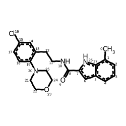 Cc1cccc2cc(C(=O)NCCc3cc(Cl)ccc3N3CCOCC3)[nH]c12